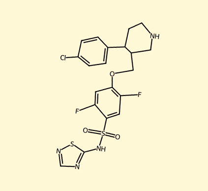 O=S(=O)(Nc1ncns1)c1cc(F)c(OCC2CNCCC2c2ccc(Cl)cc2)cc1F